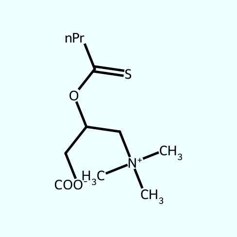 CCCC(=S)OC(CC(=O)[O-])C[N+](C)(C)C